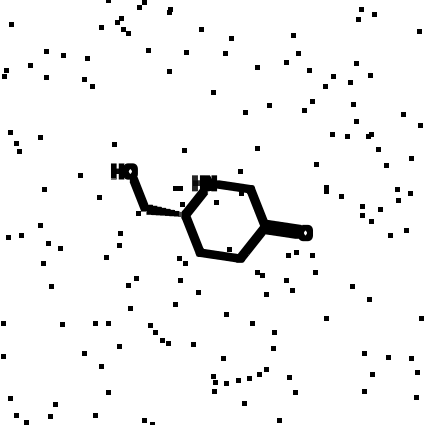 O=C1CC[C@H](CO)NC1